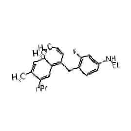 C/C=C\C(Cc1ccc(NCC)cc1F)=C1\C=C(CCC)C(C)=CC1C